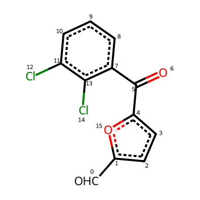 O=Cc1ccc(C(=O)c2cccc(Cl)c2Cl)o1